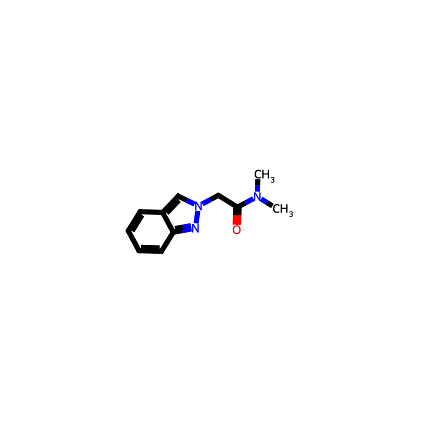 CN(C)C(=O)Cn1[c]c2ccccc2n1